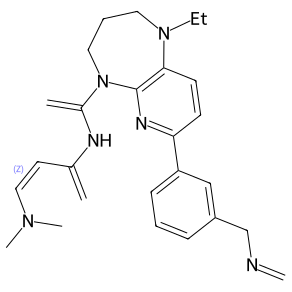 C=NCc1cccc(-c2ccc3c(n2)N(C(=C)NC(=C)/C=C\N(C)C)CCCN3CC)c1